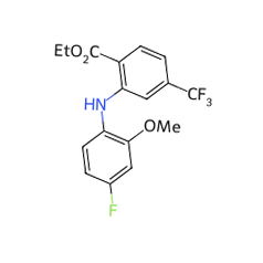 CCOC(=O)c1ccc(C(F)(F)F)cc1Nc1ccc(F)cc1OC